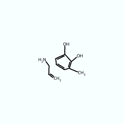 C=CCN.Cc1cccc(O)c1O